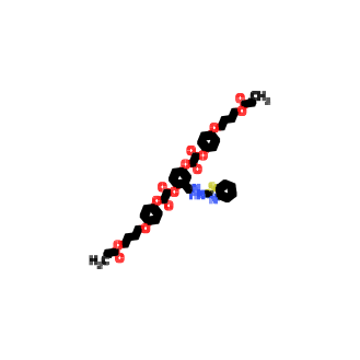 C=CC(=O)OCCCCOc1ccc(OC(=O)C(=O)Oc2ccc(OC(=O)C(=O)Oc3ccc(OCCCCOC(=O)C=C)cc3)c(/C=N/Nc3nc4ccccc4s3)c2)cc1